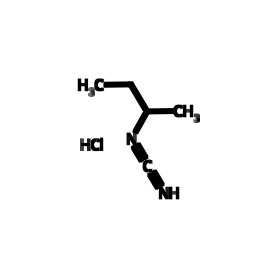 CCC(C)N=C=N.Cl